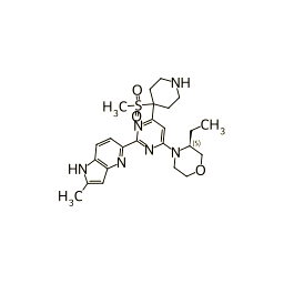 CC[C@H]1COCCN1c1cc(C2(S(C)(=O)=O)CCNCC2)nc(-c2ccc3[nH]c(C)cc3n2)n1